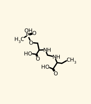 CCC(NCNC(COP(C)(=O)O)C(=O)O)C(=O)O